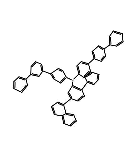 c1ccc(-c2ccc(-c3ccc(N(c4ccc(-c5cccc(-c6ccccc6)c5)cc4)c4cc(-c5cccc6ccccc56)ccc4-c4ccccc4)cc3)cc2)cc1